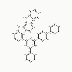 c1ccc(-c2ccc(C3=NC(c4cccc5oc6c(ccc7c8ccccc8oc76)c45)=NC(c4ccccc4)N3)cc2)cc1